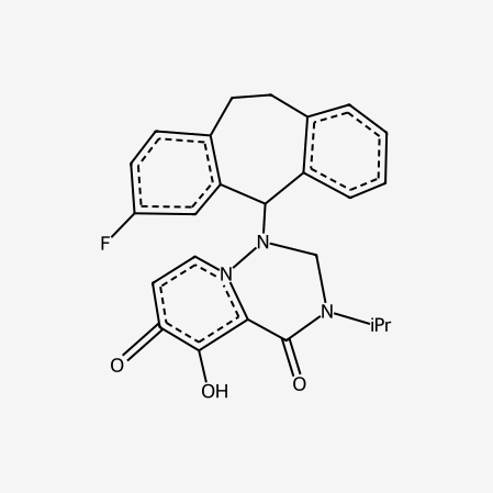 CC(C)N1CN(C2c3ccccc3CCc3ccc(F)cc32)n2ccc(=O)c(O)c2C1=O